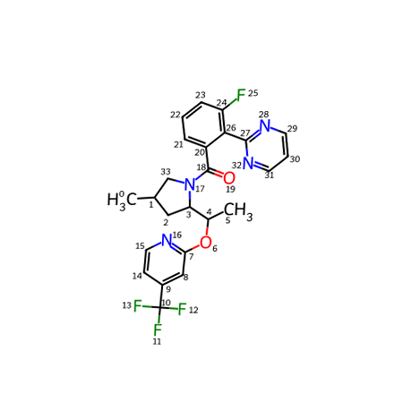 CC1CC(C(C)Oc2cc(C(F)(F)F)ccn2)N(C(=O)c2cccc(F)c2-c2ncccn2)C1